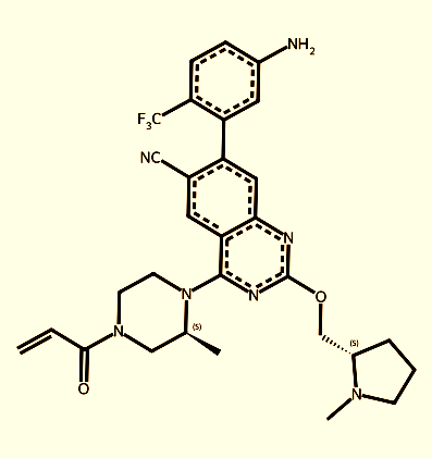 C=CC(=O)N1CCN(c2nc(OC[C@@H]3CCCN3C)nc3cc(-c4cc(N)ccc4C(F)(F)F)c(C#N)cc23)[C@@H](C)C1